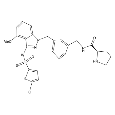 COc1cccc2c1c(NS(=O)(=S)c1ccc(Cl)s1)nn2Cc1cccc(CNC(=O)[C@H]2CCCN2)c1